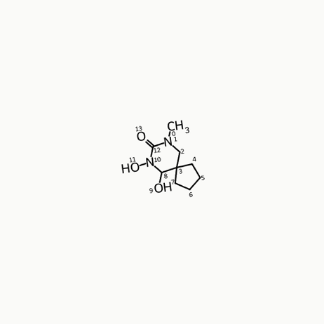 CN1CC2(CCCC2)C(O)N(O)C1=O